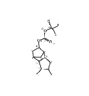 CC1CC2C3CC(CC3OC(=O)OC(C)(C)C)C2C1C